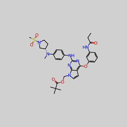 CCC(=O)Nc1cccc(Oc2nc(Nc3ccc(N(C)[C@H]4CCN(S(C)(=O)=O)C4)cc3)nc3c2ccn3COC(=O)C(C)(C)C)c1